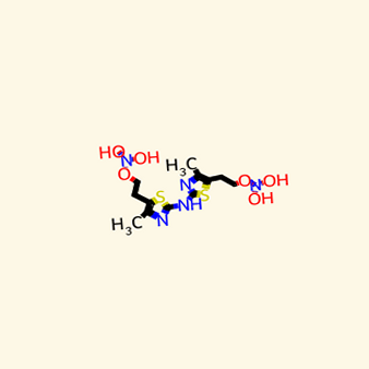 Cc1nc(Nc2nc(C)c(CCON(O)O)s2)sc1CCON(O)O